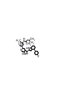 C=C/C(=C\C(=C/C)c1cc2c(-c3cc4c(-c5ccc(F)cc5)cccc4[nH]3)n[nH]c2cn1)NC(=C)CC(C)C